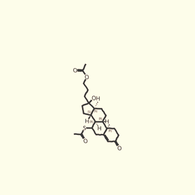 CC(=O)OCCCC1(O)CC[C@H]2[C@@H]3C(SC(C)=O)CC4=CC(=O)CC[C@]4(C)[C@@H]3CC[C@@]21C